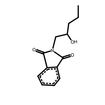 CCCC(O)CN1C(=O)c2ccccc2C1=O